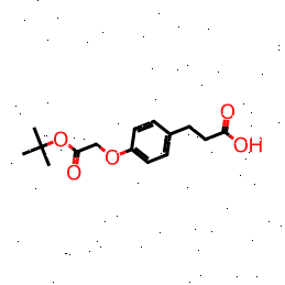 CC(C)(C)OC(=O)COc1ccc(CCC(=O)O)cc1